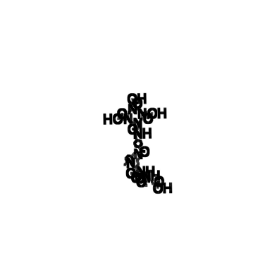 CC(=O)[C@@H](CCC(=O)O)NC(=O)N[C@H](CCCCN(Cc1ccc(C)nc1)C(=O)c1ccc(CNC(=O)CN2CCN(CC(=O)O)CCN(CC(=O)O)CCN(CC(=O)O)CC2)cc1)C(=O)O